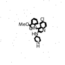 COC(=O)c1ccccc1Nc1c(NC2CCNCC2)cnc2ccc(Cl)cc12